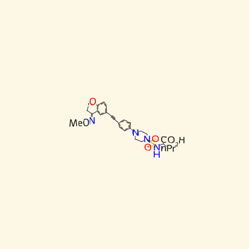 CCCC(NS(=O)(=O)N1CCN(c2ccc(C#Cc3ccc4c(c3)C(=NOC)CCO4)cc2)CC1)C(=O)O